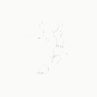 CCC[C@@H](CCO)Nc1nc(N)nc2cnn(Cc3nc(C4CCNCC4)ccc3OC)c12